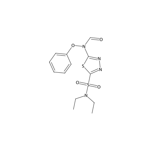 CCN(CC)S(=O)(=O)c1nnc(N(C=O)Oc2ccccc2)s1